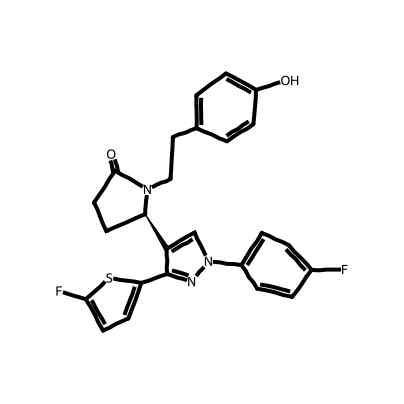 O=C1CC[C@H](c2cn(-c3ccc(F)cc3)nc2-c2ccc(F)s2)N1CCc1ccc(O)cc1